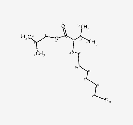 CC(C)COC(=O)C(SCCCCCCF)C(C)C